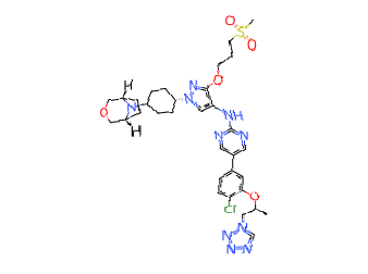 C[C@@H](Cn1cnnn1)Oc1cc(-c2cnc(Nc3cn([C@H]4CC[C@H](N5[C@@H]6CC[C@H]5COC6)CC4)nc3OCCCS(C)(=O)=O)nc2)ccc1Cl